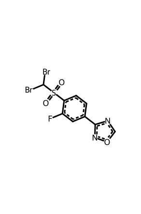 O=S(=O)(c1ccc(-c2ncon2)cc1F)C(Br)Br